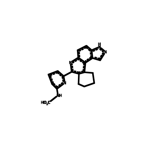 O=C(O)Nc1cccc(-c2nc3ccc4[nH]ncc4c3c3c2CCCC3)n1